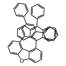 c1ccc(-c2cc(-c3ccccc3)cc(-c3cccc4oc5cccc(-c6c7ccccc7c(-c7ccccc7)c7ccccc67)c5c34)c2)cc1